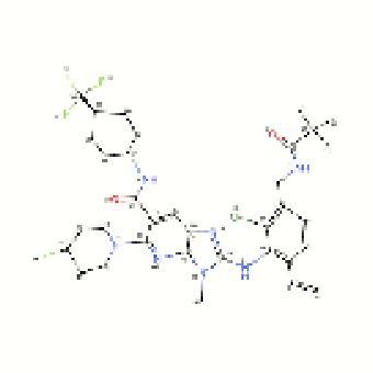 C=Cc1ccc(CNC(=O)C(C)(C)C)c(Cl)c1Nc1nc2cc(C(=O)N[C@H]3CC[C@H](C(F)(F)F)CC3)c(N3CCC(F)CC3)nc2n1C